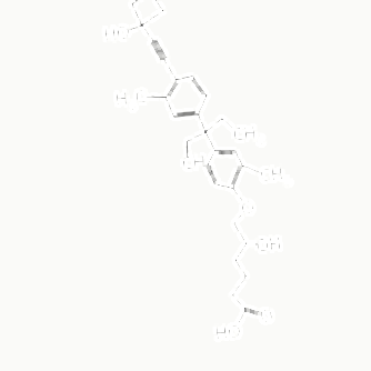 CCC(CC)(c1ccc(C#CC2(O)CCC2)c(C)c1)c1ccc(OC[C@H](O)CCCC(=O)O)c(C)c1